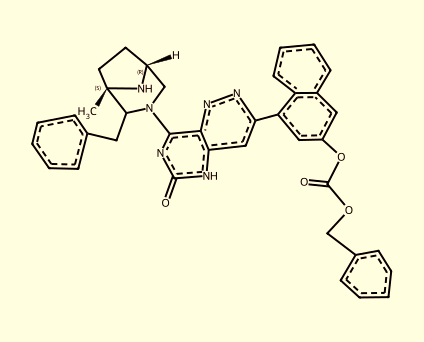 C[C@]12CC[C@H](CN(c3nc(=O)[nH]c4cc(-c5cc(OC(=O)OCc6ccccc6)cc6ccccc56)nnc34)C1Cc1ccccc1)N2